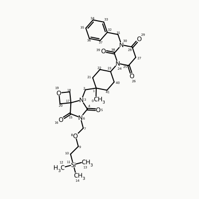 CC1(CN2C(=O)N(COCC[Si](C)(C)C)C(=O)C23COC3)CCC(N2C(=O)CC(=O)N(Cc3ccccc3)C2=O)CC1